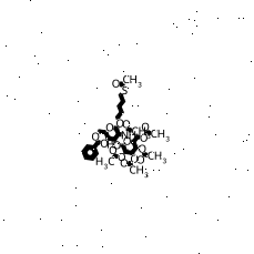 CC(=O)NC1[C@@H](OCCCCCSC(C)=O)OC2COC(c3ccccc3)O[C@@H]2[C@@H]1O[C@@H]1OC(COC(C)=O)[C@H](OC(C)=O)C(OC(C)=O)[C@@H]1OC(C)=O